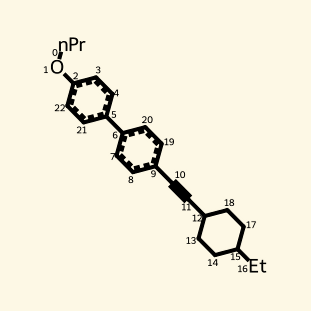 CCCOc1ccc(-c2ccc(C#CC3CCC(CC)CC3)cc2)cc1